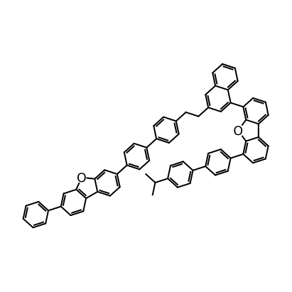 CC(C)c1ccc(-c2ccc(-c3cccc4c3oc3c(-c5cc(CCc6ccc(-c7ccc(-c8ccc9c(c8)oc8cc(-c%10ccccc%10)ccc89)cc7)cc6)cc6ccccc56)cccc34)cc2)cc1